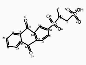 CN(CS(=O)(=O)O)S(=O)(=O)c1ccc2c(c1)C(=O)c1ccccc1C2=O